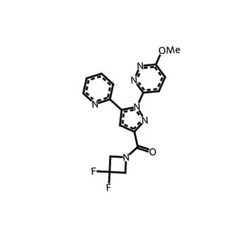 COc1ccc(-n2nc(C(=O)N3CC(F)(F)C3)cc2-c2ccccn2)nn1